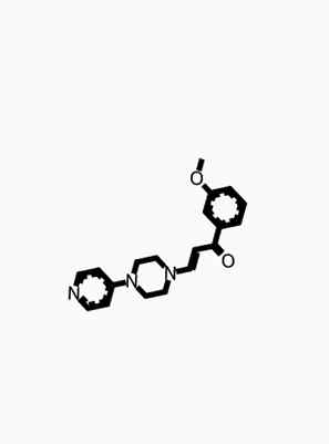 COc1cccc(C(=O)C=CN2CCN(c3ccncc3)CC2)c1